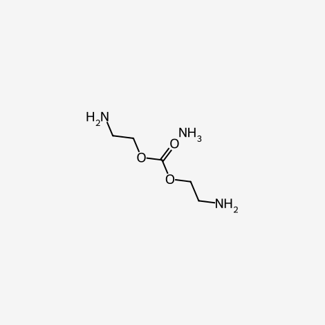 N.NCCOC(=O)OCCN